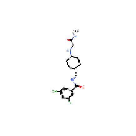 CC(C)(C)NC(=O)CN[C@H]1CC[C@H](CNC(=O)c2cc(Cl)cc(Cl)c2)CC1